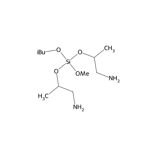 CCC(C)O[Si](OC)(OC(C)CN)OC(C)CN